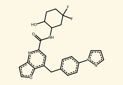 O=C(NC1CC(F)(F)CCC1O)c1cc(Cc2ccc(-n3cccn3)cc2)c2occc2n1